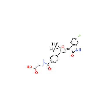 CC1(C)O/C(=C2/C(=O)Nc3cc(F)ccc32)C=C1c1ccc(C(=O)NCCC(=O)O)cc1